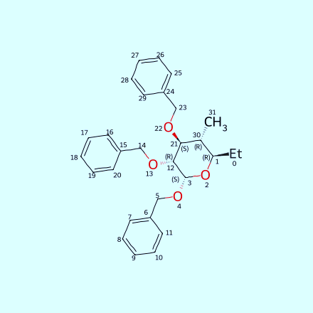 CC[C@H]1O[C@H](OCc2ccccc2)[C@H](OCc2ccccc2)[C@@H](OCc2ccccc2)[C@@H]1C